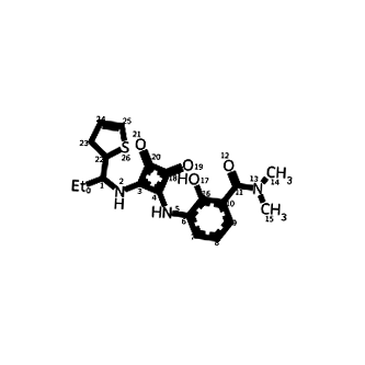 CCC(Nc1c(Nc2cccc(C(=O)N(C)C)c2O)c(=O)c1=O)C1CC=CS1